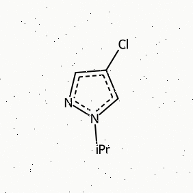 CC(C)n1cc(Cl)cn1